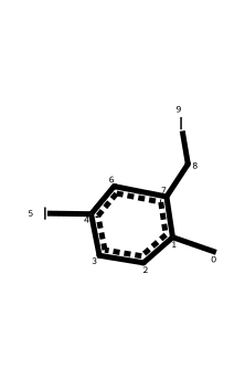 Cc1ccc(I)cc1CI